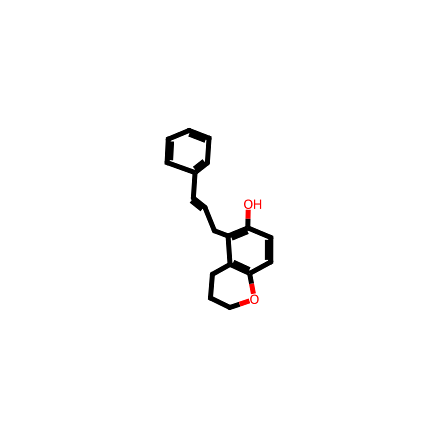 Oc1ccc2c(c1C/C=C/c1ccccc1)CCCO2